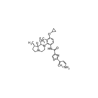 C=C(/C=C\N)c1nc(C(=O)Nc2ccc(OC3CC3)c(C(F)(F)F)c2N2CCN3CC[C@@H](C)[C@@H]3C2C)cs1